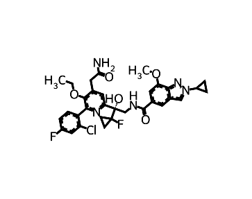 CCOc1c(CC(N)=O)cc([C@@](O)(CNC(=O)c2cc(OC)c3nn(C4CC4)cc3c2)C2(F)CC2)nc1-c1ccc(F)cc1Cl